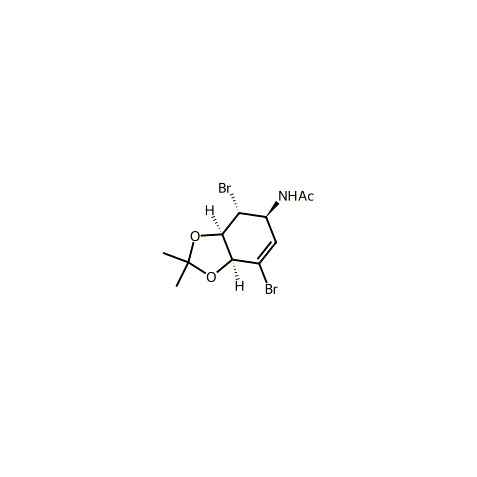 CC(=O)N[C@H]1C=C(Br)[C@H]2OC(C)(C)O[C@H]2[C@@H]1Br